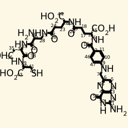 Nc1nc2ncc(CNc3ccc(C(=O)N[C@@H](CCC(=O)NC(CCC(=O)NC[C@H](N)C(=O)N[C@@H](CC=O)C(=O)NC(CS)C(=O)O)C(=O)O)C(=O)O)cc3)nc2c(=O)[nH]1